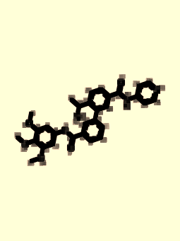 COc1cc(OC(=O)c2cccc(-c3cc(C(=O)Nc4ccncc4)ccc3C(C)N)c2)cc(OC)c1OC